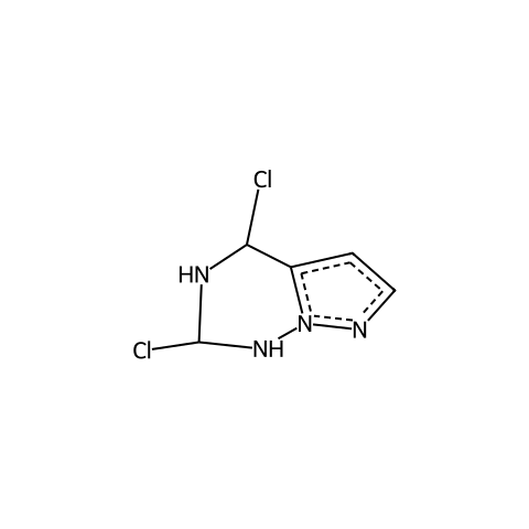 ClC1NC(Cl)c2ccnn2N1